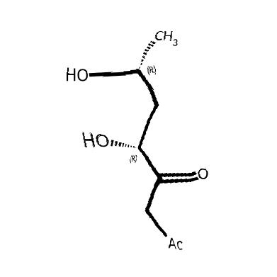 CC(=O)CC(=O)[C@H](O)C[C@@H](C)O